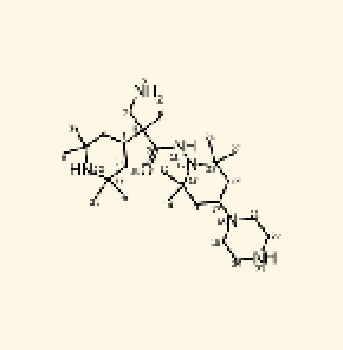 CC1(C)CC(C(C)(CN)C(=O)NN2C(C)(C)CC(N3CCNCC3)CC2(C)C)CC(C)(C)N1